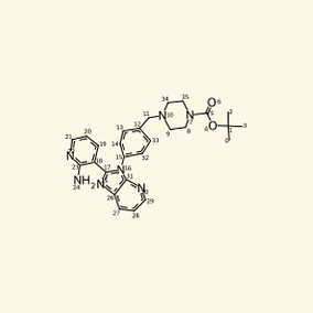 CC(C)(C)OC(=O)N1CCN(Cc2ccc(-n3c(-c4cccnc4N)nc4cccnc43)cc2)CC1